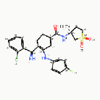 C[C@]1(NC(=O)[C@@H]2CCC(C(=N)c3ccccc3Cl)=C(Nc3ccc(F)cc3)C2)CCS(=O)(=O)C1